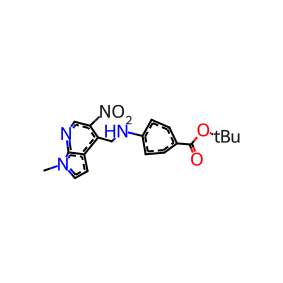 Cn1ccc2c(CNc3ccc(C(=O)OC(C)(C)C)cc3)c([N+](=O)[O-])cnc21